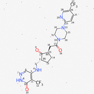 O=C1[C@@H](CNc2cn[nH]c(=O)c2C(F)(F)F)CC[C@@H]1CC(=O)N1CCN(c2ccc(C(F)(F)F)cn2)CC1